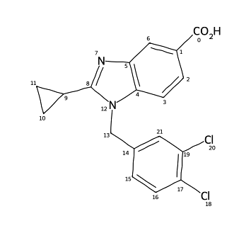 O=C(O)c1ccc2c(c1)nc(C1CC1)n2Cc1ccc(Cl)c(Cl)c1